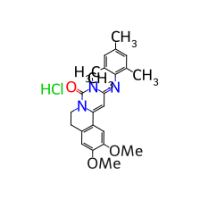 COc1cc2c(cc1OC)-c1c/c(=N/c3c(C)cc(C)cc3C)n(C)c(=O)n1CC2.Cl